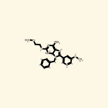 COCCOC1=NC(N)=C2N=C(c3cncc(OC)c3)N(Cc3ccccc3)C2N1